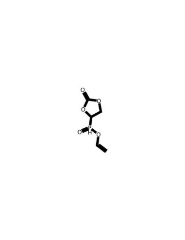 C=CO[PH](=O)C1COC(=O)O1